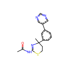 CC(=O)NC1=NC(C)(c2cccc(-c3cncnc3)c2)CCS1